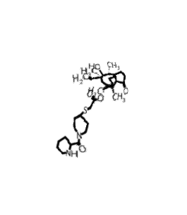 C=C[C@]1(C)C[C@@H](OC(=O)CSC2CCN(C(=O)C3CCCCN3)CC2)[C@]2(C)C(C)CCC3(CCC(=O)C32)[C@@H](C)C1O